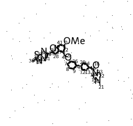 COc1cc(COc2cccc(-c3ccc(C(=O)N4CCN(C)CC4)cc3)c2)c2cc(-c3cn4nc(C)sc4n3)oc2c1